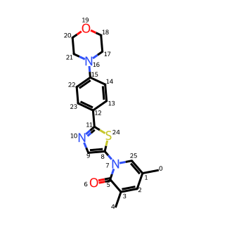 Cc1cc(C)c(=O)n(-c2cnc(-c3ccc(N4CCOCC4)cc3)s2)c1